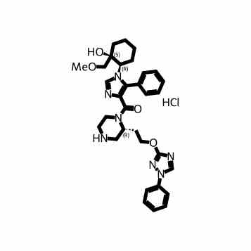 COC[C@]1(O)CCCC[C@H]1n1cnc(C(=O)N2CCNC[C@H]2CCOc2ncn(-c3ccccc3)n2)c1-c1ccccc1.Cl